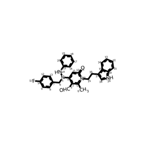 Cc1c(C=O)c(N(Cc2ccc(F)cc2)Nc2ccccc2)cc(=O)n1CCc1c[nH]c2ccccc12